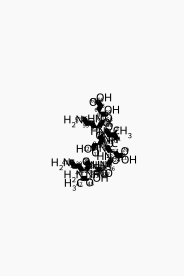 CC[C@H](C)[C@H](NC(=O)[C@H](CC(=O)O)NC(=O)[C@H](CCC(=O)O)NC(=O)[C@H](CO)NC(=O)[C@H](CO)NC(=O)[C@H](CCCCN)NC(=O)[C@H](C)N)C(=O)N[C@@H](CCCCN)C(=O)N[C@@H](CCC(=O)O)C(=O)O